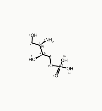 N[C@H](CO)[C@H](O)COP(=O)(O)O